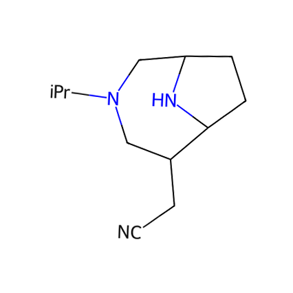 CC(C)N1CC2CCC(N2)C(CC#N)C1